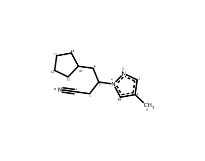 Cc1cnn(C(CC#N)CC2CCCC2)c1